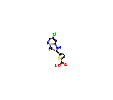 Cc1ncc(Cl)cc1NCc1ccc(C(=O)O)s1